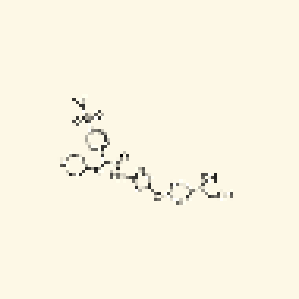 O=C(Nc1ncc(Oc2ccc(C(O)CO)cc2)s1)C(OC1CCOCC1)c1ccc(S(=O)(=O)C2CC2)cc1